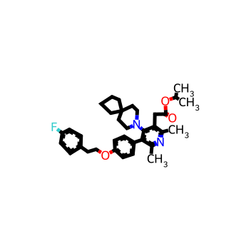 Cc1nc(C)c(-c2ccc(OCCc3ccc(F)cc3)cc2)c(N2CCC3(CCCC3)CC2)c1CC(=O)OC(C)C